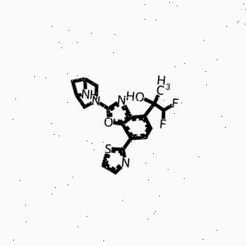 CC(O)(c1ccc(-c2nccs2)c2oc(N3CC4CC(C3)N4)nc12)C(F)F